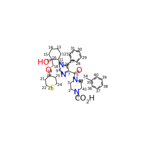 O=C(O)N1CCN(C(=O)c2ncn(C3CCCCC3(O)COC3CCSCC3)c2-c2ccccc2)[C@H](Cc2ccccc2)C1